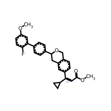 COC(=O)/C=C(\c1ccc2c(c1)CC(c1ccc(-c3cc(OC)ccc3F)cc1)OC2)C1CC1